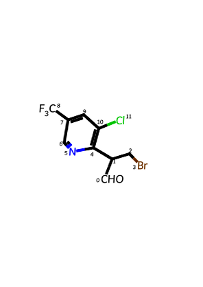 O=CC(CBr)c1ncc(C(F)(F)F)cc1Cl